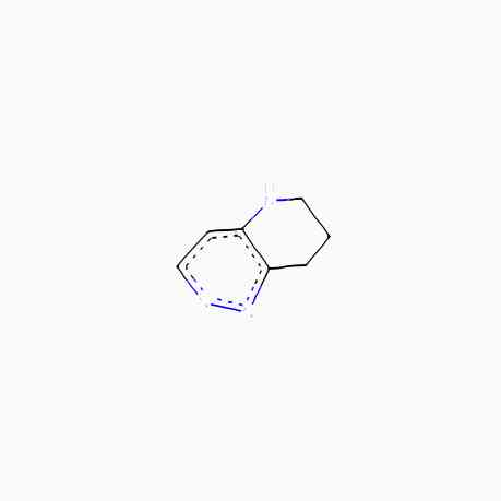 [c]1cc2c(nn1)CCCN2